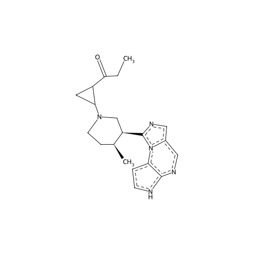 CCC(=O)C1CC1N1CC[C@H](C)[C@H](c2ncc3cnc4[nH]ccc4n23)C1